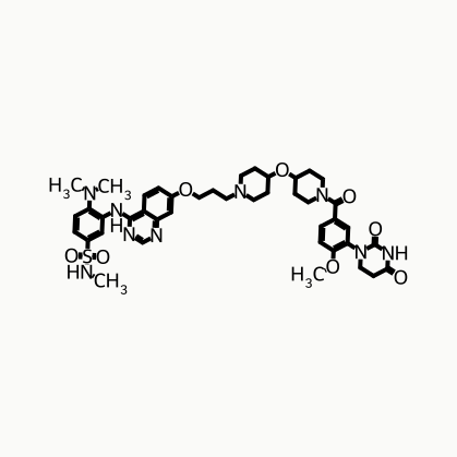 CNS(=O)(=O)c1ccc(N(C)C)c(Nc2ncnc3cc(OCCCN4CCC(OC5CCN(C(=O)c6ccc(OC)c(N7CCC(=O)NC7=O)c6)CC5)CC4)ccc23)c1